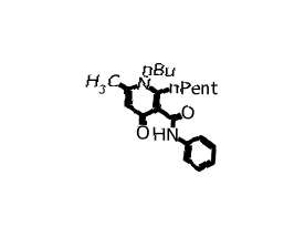 CCCCCc1c(C(=O)Nc2ccccc2)c(=O)cc(C)n1CCCC